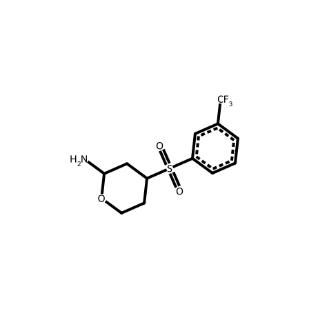 NC1CC(S(=O)(=O)c2cccc(C(F)(F)F)c2)CCO1